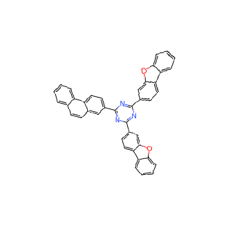 c1ccc2c(c1)ccc1cc(-c3nc(-c4ccc5c(c4)oc4ccccc45)nc(-c4ccc5c(c4)oc4ccccc45)n3)ccc12